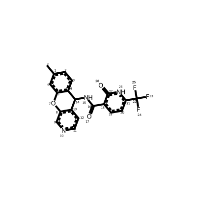 Cc1ccc2c(c1)Oc1cnccc1C2NC(=O)c1ccc(C(F)(F)F)[nH]c1=O